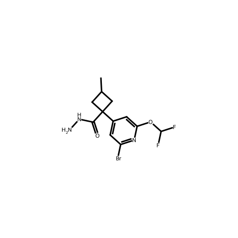 CC1CC(C(=O)NN)(c2cc(Br)nc(OC(F)F)c2)C1